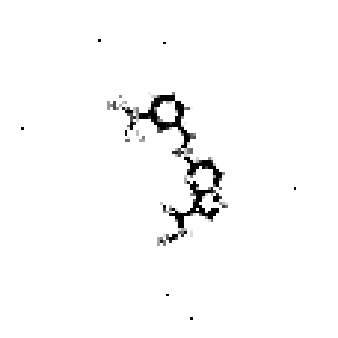 CC(C)NC(=O)c1cnn2ccc(NCc3cccc(N(C)C)c3)nc12